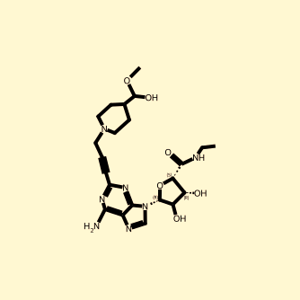 CCNC(=O)[C@H]1O[C@@H](n2cnc3c(N)nc(C#CCN4CCC(C(O)OC)CC4)nc32)C(O)[C@H]1O